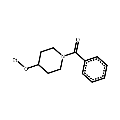 CCOC1CCN(C(=O)c2ccccc2)CC1